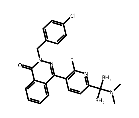 BC(B)(c1ccc(-c2nn(Cc3ccc(Cl)cc3)c(=O)c3ccccc23)c(F)n1)N(C)C